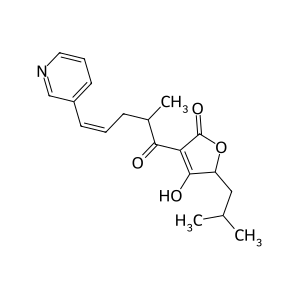 CC(C)CC1OC(=O)C(C(=O)C(C)C/C=C\c2cccnc2)=C1O